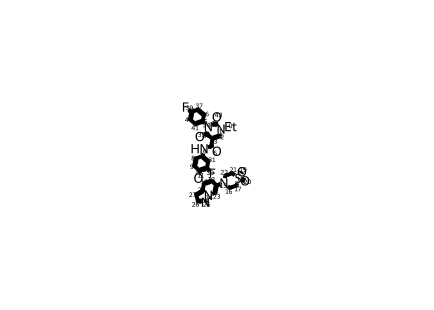 CCn1cc(C(=O)Nc2ccc(Oc3cc(N4CCS(=O)(=O)CC4)cn4nccc34)c(F)c2)c(=O)n(-c2ccc(F)cc2)c1=O